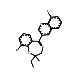 CCC1(C)CN=C(c2cnc3c(F)cccc3c2)c2cccc(F)c2O1